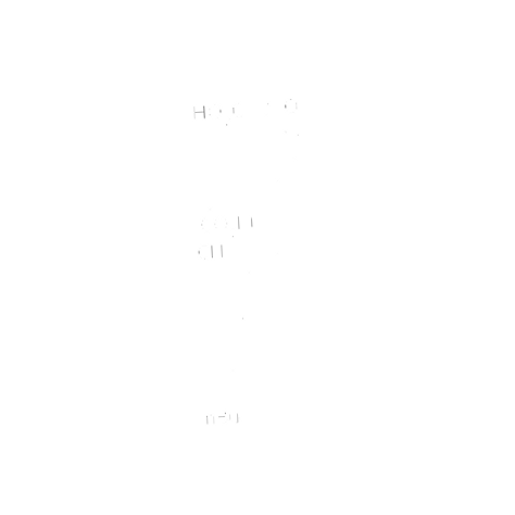 CCCCC=CC=CC=CCCCCCC1OC1C(=O)O.CCOC(C)=O